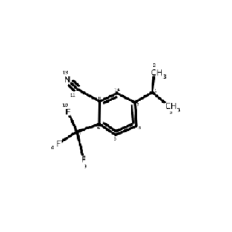 CC(C)C1=C=C=C(C(F)(F)F)C(C#N)=C1